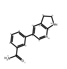 NC(=O)c1cccc(-c2cnc3c(c2)CCN3)c1